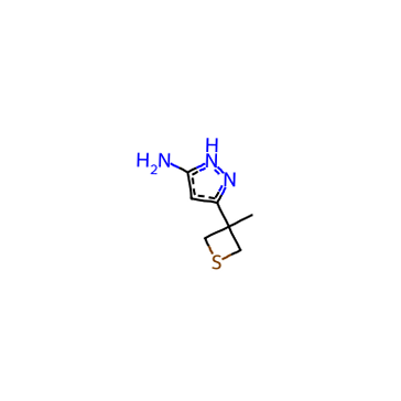 CC1(c2cc(N)[nH]n2)CSC1